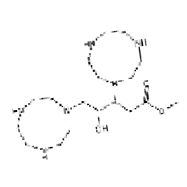 COC(=O)CC(C(O)CN1CCNCCNCC1)N1CCNCCNCC1